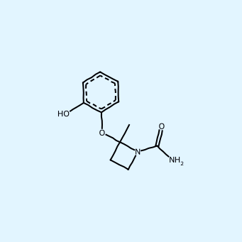 CC1(Oc2ccccc2O)CCN1C(N)=O